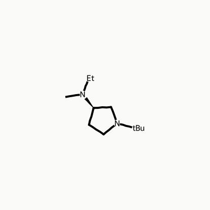 CCN(C)[C@@H]1CCN(C(C)(C)C)C1